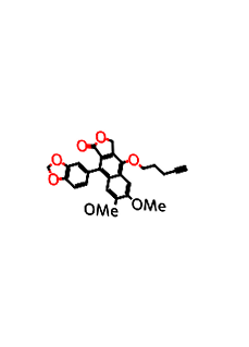 C#CCCCOc1c2c(c(-c3ccc4c(c3)OCO4)c3cc(OC)c(OC)cc13)C(=O)OC2